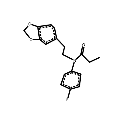 CCC(=O)N(CCc1ccc2c(c1)OCO2)c1ccc(F)cc1